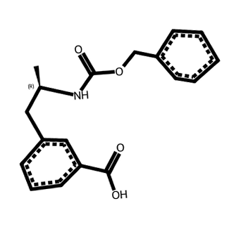 C[C@H](Cc1cccc(C(=O)O)c1)NC(=O)OCc1ccccc1